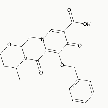 CC1CCOC2Cn3cc(C(=O)O)c(=O)c(OCc4ccccc4)c3C(=O)N12